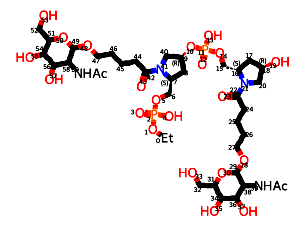 CCOP(=O)(O)OC[C@@H]1C[C@@H](OP(=O)(O)OC[C@@H]2C[C@@H](O)CN2C(=O)CCCCOC2OC(CO)C(O)C(O)C2NC(C)=O)CN1C(=O)CCCCOC1OC(CO)C(O)C(O)C1NC(C)=O